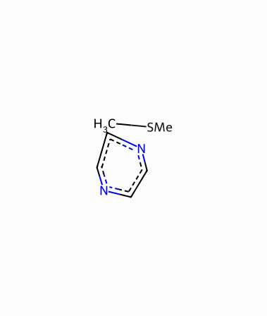 CSC.c1cnccn1